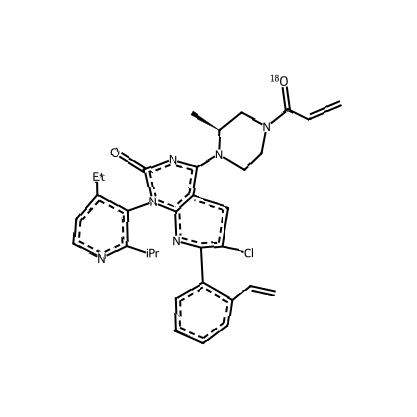 C=CC(=[18O])N1CCN(c2nc(=O)n(-c3c(CC)ccnc3C(C)C)c3nc(-c4ccccc4C=C)c(Cl)cc23)[C@@H](C)C1